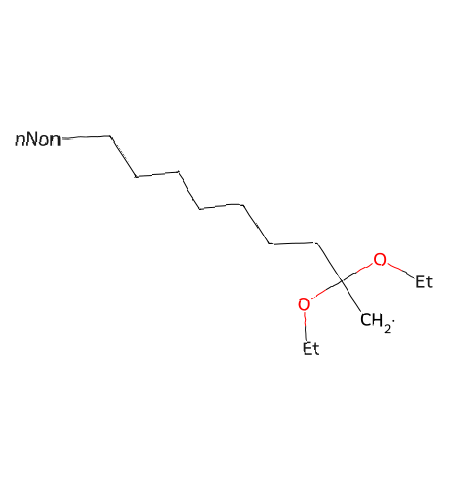 [CH2]C(CCCCCCCCCCCCCCCC)(OCC)OCC